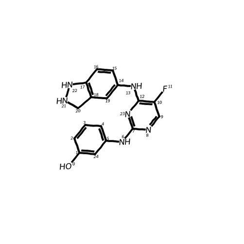 Oc1cccc(Nc2ncc(F)c(Nc3ccc4c(c3)CNN4)n2)c1